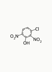 O=[N+]([O-])c1ccc(Cl)c([N+](=O)[O-])c1O